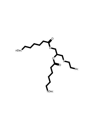 CCCCCCCCCCCCCCCC(=O)OCC(CSCCC(C)=O)OC(=O)CCCCCCCCCCCCCCC